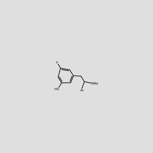 CNC(Cc1cc(O)cc(F)c1)C(C)=O